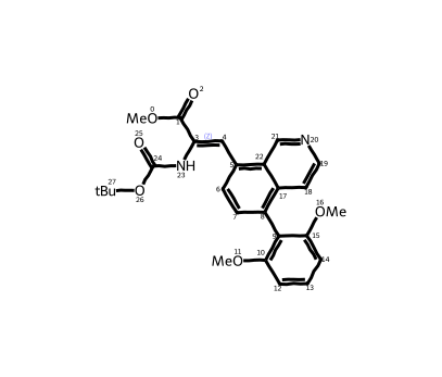 COC(=O)/C(=C/c1ccc(-c2c(OC)cccc2OC)c2ccncc12)NC(=O)OC(C)(C)C